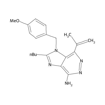 C=C(C)c1nnc(N)c2nc(CCCC)n(Cc3ccc(OC)cc3)c12